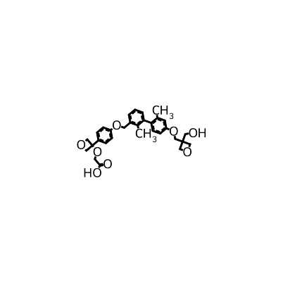 Cc1cc(OCC2(CO)COC2)ccc1-c1cccc(COc2ccc(C3(OCC(=O)O)COC3)cc2)c1C